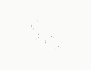 CCOC(=O)/C(O)=C/C(=N)c1ccc(O)cc1